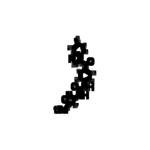 Cc1ccn2c(C(=O)c3ccc(NC(=O)Nc4cc(C(C)(C)C)on4)cc3)cnc2c1